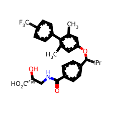 Cc1cc(OC(c2ccc(C(=O)NC[C@@H](O)C(=O)O)cc2)C(C)C)cc(C)c1-c1ccc(C(F)(F)F)cc1